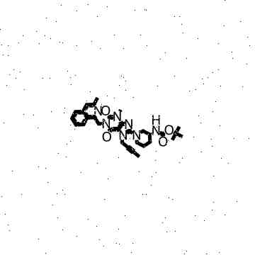 CC#CCn1c(N2CCC[C@@H](NC(=O)OC(C)(C)C)C2)nc2c1c(=O)n(Cc1nc(C)cc3ccccc13)c(=O)n2C